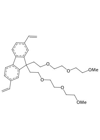 C=Cc1ccc2c(c1)C(CCOCCOCCOC)(CCOCCOCCOC)c1cc(C=C)ccc1-2